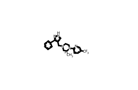 C[C@@H]1CN(Cc2c[nH]nc2-c2cc[c]cc2)CCN1c1ccc(C(F)(F)F)cn1